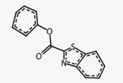 O=C(Oc1ccccc1)c1nc2ccccc2s1